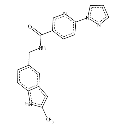 O=C(NCc1ccc2[nH]c(C(F)(F)F)cc2c1)c1ccc(-n2cccn2)nc1